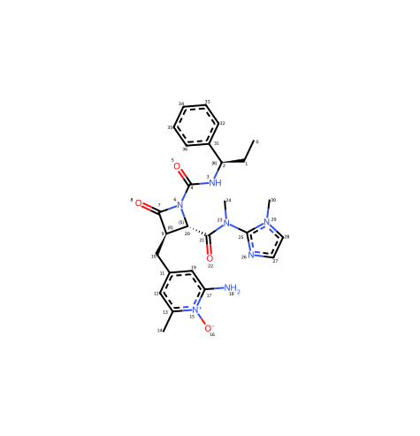 CC[C@@H](NC(=O)N1C(=O)[C@H](Cc2cc(C)[n+]([O-])c(N)c2)[C@H]1C(=O)N(C)c1nccn1C)c1ccccc1